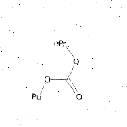 CCCOC(=O)[O][Pu]